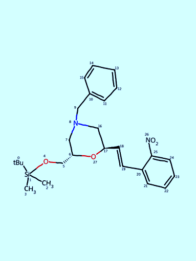 CC(C)(C)[Si](C)(C)OC[C@@H]1CN(Cc2ccccc2)C[C@@H](/C=C/c2ccccc2[N+](=O)[O-])O1